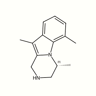 Cc1c2n(c3c(C)cccc13)[C@H](C)CNC2